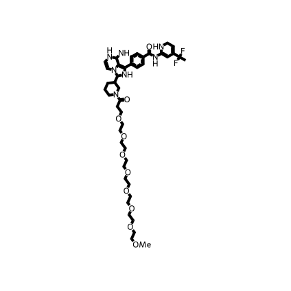 COCCOCCOCCOCCOCCOCCOCCOCCC(=O)N1CCCC(C2NC(c3ccc(C(=O)NC4=CC(C(C)(F)F)=CCN4)cc3)=C3C(N)NC=CN32)C1